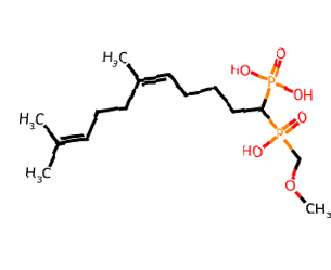 COCP(=O)(O)C(CCCC=C(C)CCC=C(C)C)P(=O)(O)O